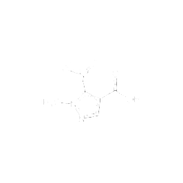 Cn1ncc(C(=O)O)c1[N+](=O)[O-]